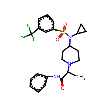 CC(C(=O)Nc1ccccc1)N1CCC(N(C2CC2)S(=O)(=O)c2cccc(C(F)(F)F)c2)CC1